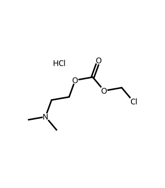 CN(C)CCOC(=O)OCCl.Cl